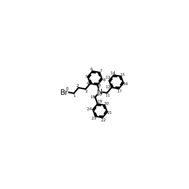 BrCCCc1ccccc1N(Cc1ccccc1)Cc1ccccc1